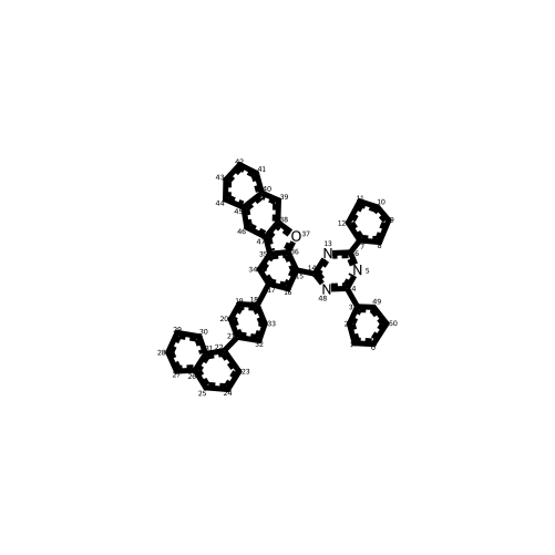 c1ccc(-c2nc(-c3ccccc3)nc(-c3cc(-c4ccc(-c5cccc6ccccc56)cc4)cc4c3oc3cc5ccccc5cc34)n2)cc1